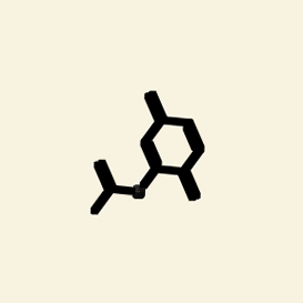 C=C(C)Oc1cc(=C)ccc1=C